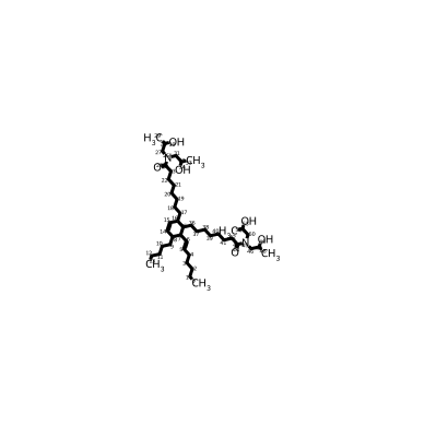 CCCCC/C=C/C1C(CCCCC)C=CC(CCCCCCCC(=O)N(CC(C)O)CC(C)O)C1CCCCCCCC(=O)N(CC(C)O)CC(C)O